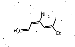 C=C/C=C(N)\C=C(/I)CC